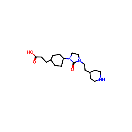 O=C(O)CCC1CCC(N2CCN(CCC3CCNCC3)C2=O)CC1